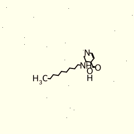 CCCCCCCCCNC1C=NC=CC1C(=O)O